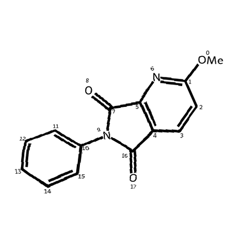 COc1ccc2c(n1)C(=O)N(c1ccccc1)C2=O